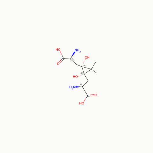 CC1(C)[C@](O)(C[C@H](N)C(=O)O)[C@]1(O)C[C@H](N)C(=O)O